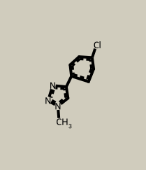 Cn1cc(-c2ccc(Cl)cc2)nn1